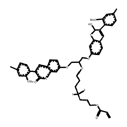 C=CC(=O)OCCCC(F)(F)CCCOC(COc1ccc2c(c1)SC(O)C(c1ccc(C)cc1OC)=C2)COc1ccc2cc(-c3ccc(C)cc3OC)c(=O)sc2c1